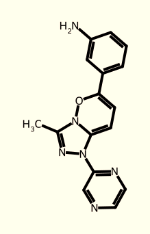 CC1=NN(c2cnccn2)C2=CC=C(c3cccc(N)c3)ON21